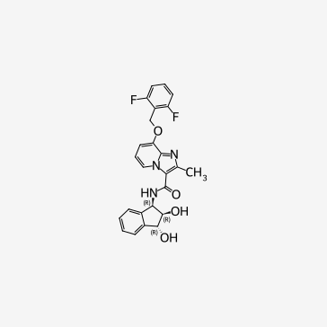 Cc1nc2c(OCc3c(F)cccc3F)cccn2c1C(=O)N[C@@H]1c2ccccc2[C@@H](O)[C@@H]1O